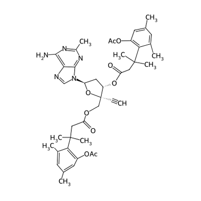 C#C[C@]1(COC(=O)CC(C)(C)c2c(C)cc(C)cc2OC(C)=O)O[C@@H](n2cnc3c(N)nc(C)nc32)C[C@@H]1OC(=O)CC(C)(C)c1c(C)cc(C)cc1OC(C)=O